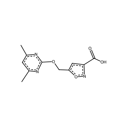 Cc1cc(C)nc(OCc2cc(C(=O)O)no2)n1